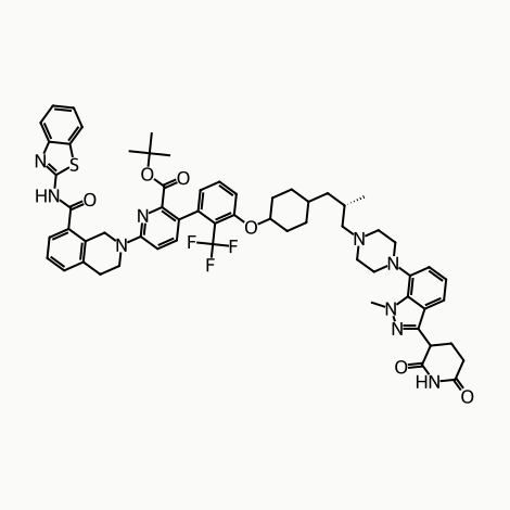 C[C@@H](CC1CCC(Oc2cccc(-c3ccc(N4CCc5cccc(C(=O)Nc6nc7ccccc7s6)c5C4)nc3C(=O)OC(C)(C)C)c2C(F)(F)F)CC1)CN1CCN(c2cccc3c(C4CCC(=O)NC4=O)nn(C)c23)CC1